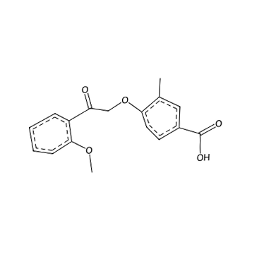 COc1ccccc1C(=O)COc1ccc(C(=O)O)cc1C